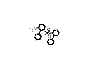 Nc1ccccc1-c1ccccc1.O=S(=O)(Cl)c1ccccc1-c1ccccc1